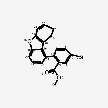 COC(=O)c1cc(Br)ccc1-c1cccc2oc3c(c12)CCC=C3